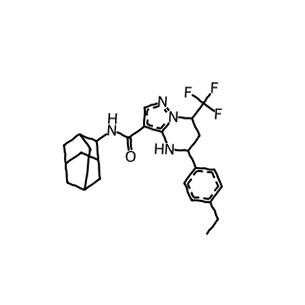 CCc1ccc(C2CC(C(F)(F)F)n3ncc(C(=O)NC4C5CC6CC(C5)CC4C6)c3N2)cc1